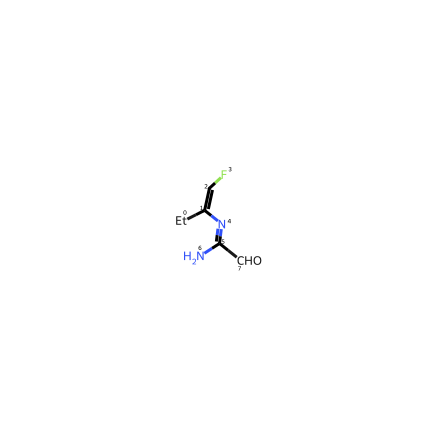 CCC(=C/F)/N=C(\N)C=O